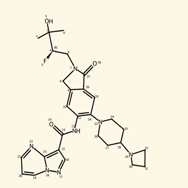 CC(C)(O)[C@H](F)CN1Cc2cc(NC(=O)c3cnn4cccnc34)c(N3CCC(N4CCC4)CC3)cc2C1=O